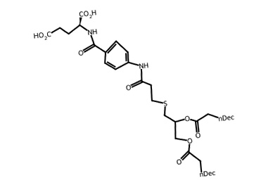 CCCCCCCCCCCC(=O)OCC(CSCCC(=O)Nc1ccc(C(=O)N[C@@H](CCC(=O)O)C(=O)O)cc1)OC(=O)CCCCCCCCCCC